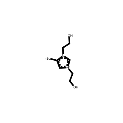 CCCCc1c[n+](CCO)cn1CCO